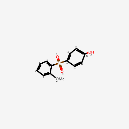 COc1ccccc1S(=O)(=O)c1ccc(O)cc1